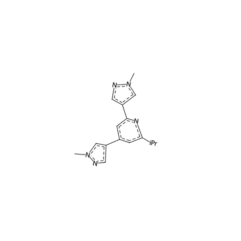 CC(C)c1cc(-c2cnn(C)c2)cc(-c2cnn(C)c2)n1